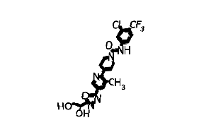 Cc1cc(-c2nnc([C@H](O)CO)o2)cnc1C1=CCN(C(=O)Nc2ccc(C(F)(F)F)c(Cl)c2)CC1